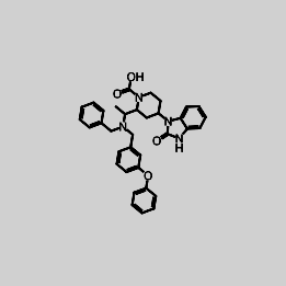 CC(C1CC(n2c(=O)[nH]c3ccccc32)CCN1C(=O)O)N(Cc1ccccc1)Cc1cccc(Oc2ccccc2)c1